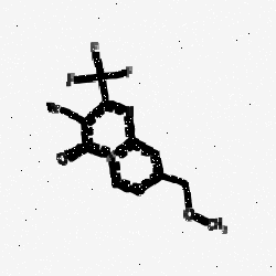 COCc1ccn2c(=O)c(Br)c(C(F)(F)F)nc2c1